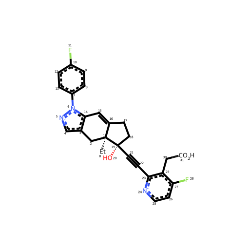 CC[C@]12Cc3cnn(-c4ccc(F)cc4)c3C=C1CC[C@@]2(O)C#Cc1nccc(F)c1CC(=O)O